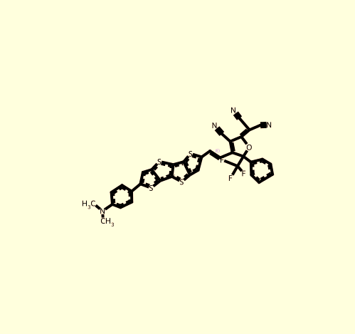 CN(C)c1ccc(-c2cc3sc4c5sc(/C=C/C6=C(C#N)C(=C(C#N)C#N)OC6(c6ccccc6)C(F)(F)F)cc5sc4c3s2)cc1